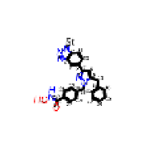 CCn1nnc2cc(-c3cc(Cc4ccccc4)n(Cc4ccc(C(=O)NO)cc4)n3)ccc21